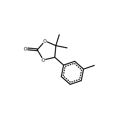 Cc1cccc(C2OC(=O)OC2(C)C)c1